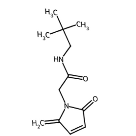 C=C1C=CC(=O)N1CC(=O)NCC(C)(C)C